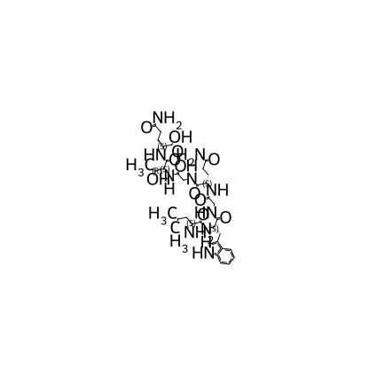 CC(C)C[C@H](N)C(=O)N[C@@H](Cc1c[nH]c2ccccc12)C(=O)NCC(=O)N[C@@H](CCC(N)=O)C(=O)NCC(=O)N[C@H](C(=O)N[C@@H](CCC(N)=O)C(=O)O)[C@@H](C)O